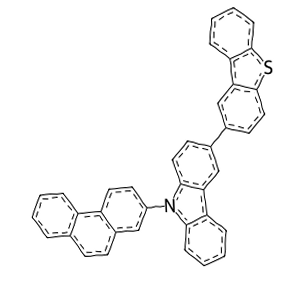 c1ccc2c(c1)ccc1cc(-n3c4ccccc4c4cc(-c5ccc6sc7ccccc7c6c5)ccc43)ccc12